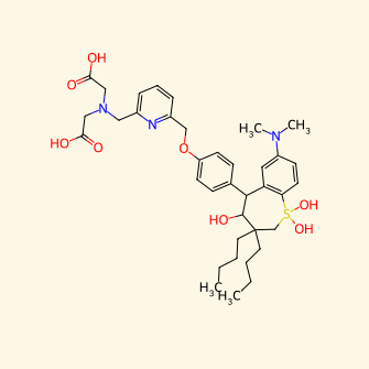 CCCCC1(CCCC)CS(O)(O)c2ccc(N(C)C)cc2C(c2ccc(OCc3cccc(CN(CC(=O)O)CC(=O)O)n3)cc2)C1O